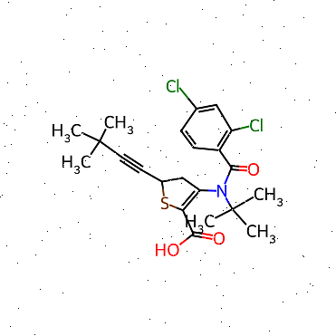 CC(C)(C)C#CC1CC(N(C(=O)c2ccc(Cl)cc2Cl)C(C)(C)C)=C(C(=O)O)S1